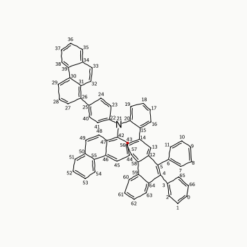 c1ccc(-c2c(-c3ccccc3)c3cc(-c4ccccc4N(c4ccc(-c5cccc6c5ccc5ccccc56)cc4)c4cccc5c4ccc4ccccc45)ccc3c3ccccc23)cc1